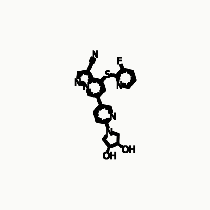 N#Cc1cnn2cc(-c3ccc(N4C[C@@H](O)[C@@H](O)C4)nc3)cc(Sc3ncccc3F)c12